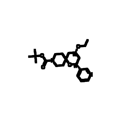 CCO[C@@H]1C[C@H](c2cccnc2)OC2(CCN(C(=O)OC(C)(C)C)CC2)C1